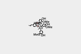 CC=Cc1ccc(OC(CC2(c3ccc(O)c(OC)c3)OC(c3ccc(O)c(OC)c3)C(C)C2C)C(O)c2ccc(O)c(OC)c2)c(OC)c1